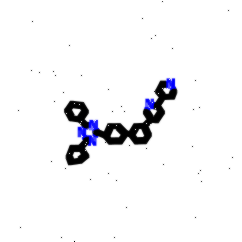 c1ccc(-c2nc(-c3ccccc3)nc(-c3ccc(-c4cccc(-c5ccc(-c6ccncc6)nc5)c4)cc3)n2)cc1